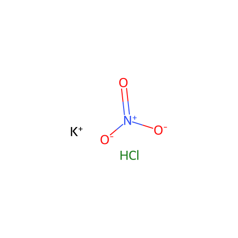 Cl.O=[N+]([O-])[O-].[K+]